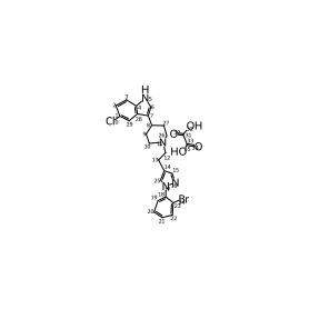 Clc1ccc2[nH]cc(C3CCN(CCc4cnn(-c5ccccc5Br)c4)CC3)c2c1.O=C(O)C(=O)O